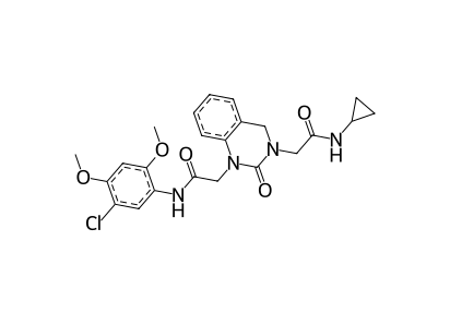 COc1cc(OC)c(NC(=O)CN2C(=O)N(CC(=O)NC3CC3)Cc3ccccc32)cc1Cl